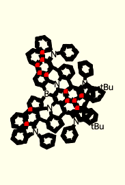 CC(C)(C)c1ccc2c(c1)c1cc(C(C)(C)C)ccc1n2-c1cc2c3c(c1)N(c1c(-c4cccc5c6ccccc6n(-c6ccccc6)c45)cccc1-c1cccc4c5ccccc5n(-c5ccccc5)c14)c1cc(-c4ccccc4)ccc1B3c1ccc(-c3ccccc3)cc1N2c1c(-c2cccc3c4ccccc4n(-c4ccccc4)c23)cccc1-c1cccc2c3ccccc3n(-c3ccccc3)c12